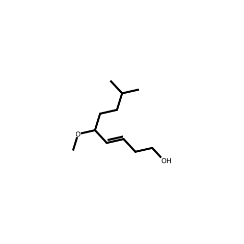 COC(C=CCCO)CCC(C)C